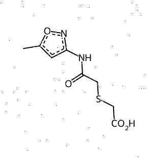 Cc1cc(NC(=O)CSCC(=O)O)no1